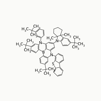 CC(C)(C)c1cccc(N2c3cc(C(C)(C)C)ccc3B3c4ccc(C(C)(C)C)cc4N(c4cccc5c4sc4ccccc45)c4cc(N5c6ccc(C(C)(C)C)cc6C6(C)CCCCC56C)cc2c43)c1